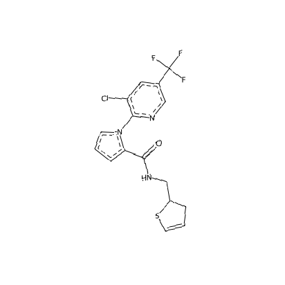 O=C(NCC1CC=CS1)c1cccn1-c1ncc(C(F)(F)F)cc1Cl